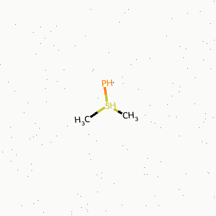 C[SH](C)[PH]